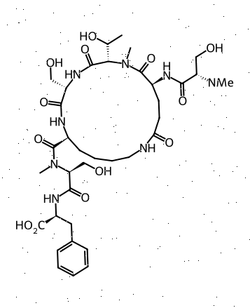 CN[C@@H](CO)C(=O)N[C@H]1CCC(=O)NCCCC[C@@H](C(=O)N(C)[C@@H](CO)C(=O)N[C@@H](Cc2ccccc2)C(=O)O)NC(=O)[C@H](CO)NC(=O)[C@H](C(C)O)N(C)C1=O